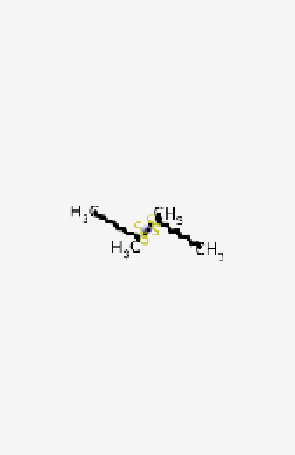 CCCCCCCCC1=C(C)S/C(=C2/SC(C)=C(CCCCCCCC)S2)S1